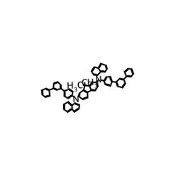 CC1(C)c2cc(N(c3ccc(-c4cccc(-c5ccccc5)c4)cc3)c3cccc4ccccc34)ccc2-c2ccc(N(c3ccc(-c4cccc(-c5ccccc5)c4)cc3)c3cccc4ccccc34)cc21